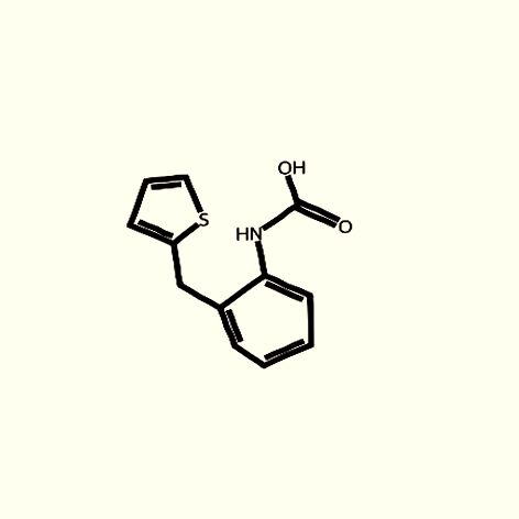 O=C(O)Nc1ccccc1Cc1cccs1